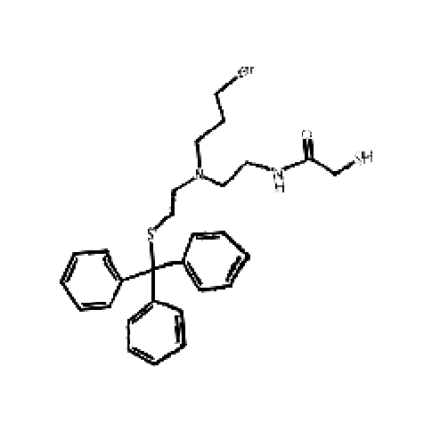 O=C(CS)NCCN(CCCBr)CCSC(c1ccccc1)(c1ccccc1)c1ccccc1